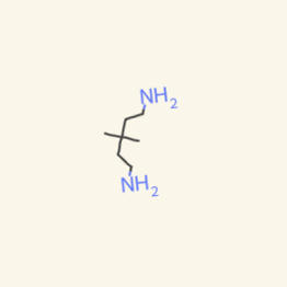 CC(C)(CCN)CCN